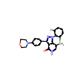 Cc1c[nH]c(=O)c2c(-c3ccc(N4CCOCC4)cc3)nn(-c3c(F)cccc3F)c12